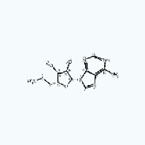 CSC[C@H]1O[C@@H](n2cnc3c(N)ncnc32)[C@H](Cl)[C@@H]1O